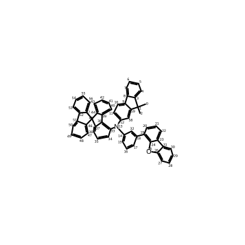 CC1(C)c2ccccc2-c2ccc(N(c3cccc(-c4cccc5c4oc4ccccc45)c3)c3cccc4c3-c3ccccc3C43c4ccccc4-c4ccccc43)cc21